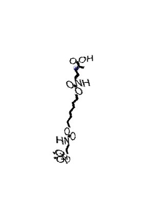 CO[Si](CCCNC(=O)OCCCCCCCCOC(=O)NCC/C=C(\C)C(=O)O)(OC)OC